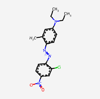 CCN(CC)c1ccc(/N=N/c2ccc([N+](=O)[O-])cc2Cl)c(C)c1